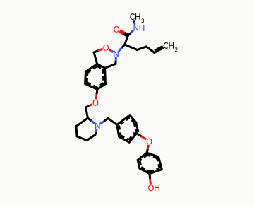 C=CCCC(C(=O)NC)N1Cc2cc(OCC3CCCCN3Cc3ccc(Oc4ccc(O)cc4)cc3)ccc2CO1